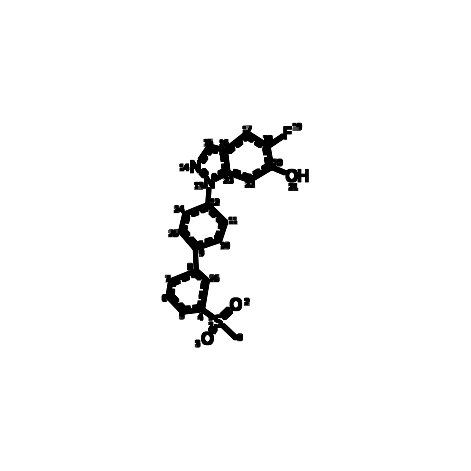 CS(=O)(=O)c1cccc(-c2ccc(-n3ncc4cc(F)c(O)cc43)cc2)c1